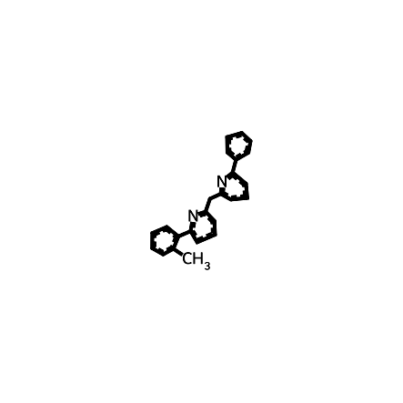 Cc1ccccc1-c1cccc(Cc2cccc(-c3ccccc3)n2)n1